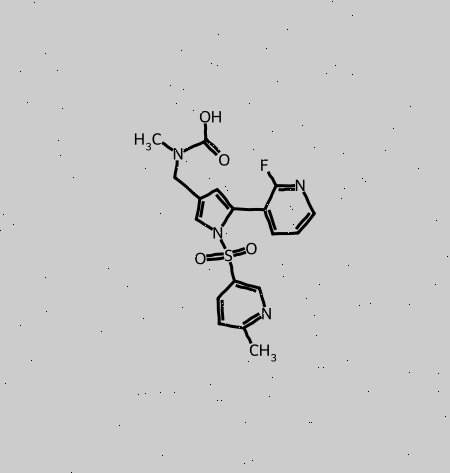 Cc1ccc(S(=O)(=O)n2cc(CN(C)C(=O)O)cc2-c2cccnc2F)cn1